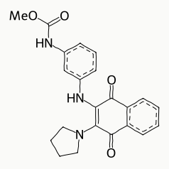 COC(=O)Nc1cccc(NC2=C(N3CCCC3)C(=O)c3ccccc3C2=O)c1